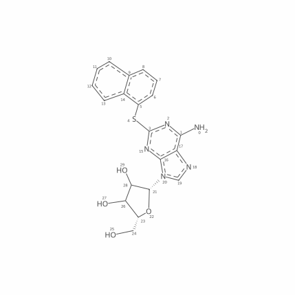 Nc1nc(Sc2cccc3ccccc23)nc2c1ncn2[C@@H]1O[C@H](CO)C(O)C1O